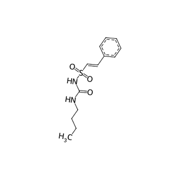 CCCCNC(=O)NS(=O)(=O)/C=C/c1ccccc1